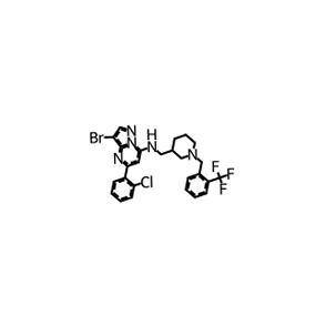 FC(F)(F)c1ccccc1CN1CCCC(CNc2cc(-c3ccccc3Cl)nc3c(Br)cnn23)C1